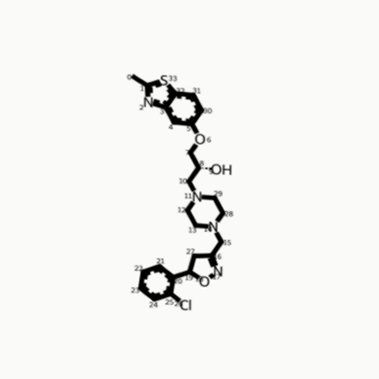 Cc1nc2cc(OC[C@H](O)CN3CCN(CC4=NOC(c5ccccc5Cl)C4)CC3)ccc2s1